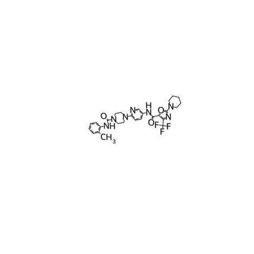 Cc1ccccc1NC(=O)N1CCN(c2ccc(NC(=O)c3oc(N4CCCCC4)nc3C(F)(F)F)cn2)CC1